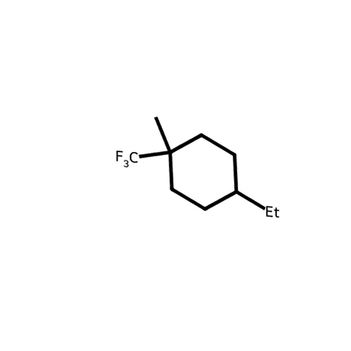 CCC1CCC(C)(C(F)(F)F)CC1